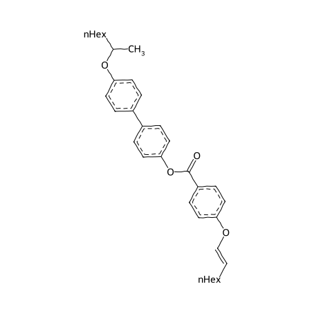 CCCCCCC=COc1ccc(C(=O)Oc2ccc(-c3ccc(OC(C)CCCCCC)cc3)cc2)cc1